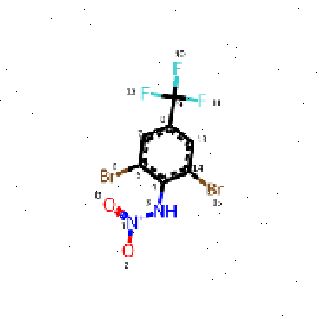 O=[N+]([O-])Nc1c(Br)cc(C(F)(F)F)cc1Br